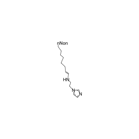 CCCCCCCCCCCCCCCC=CNCCn1ccnc1